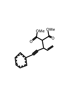 C=CC(C#Cc1ccccc1)C(C(=O)OC)C(=O)OC